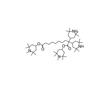 CN1C(C)(C)CC(OC(=O)CCCCCCCC(C(=O)OC2CC(C)(C)N(C)C(C)(C)C2)(C2CC(C)(C)NC(C)(C)C2)C2CC(C)(C)NC(C)(C)C2)CC1(C)C